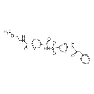 COCCNC(=O)c1ccc(C(=O)NS(=O)(=O)c2ccc(NC(=O)Cc3ccccc3)cc2)cn1